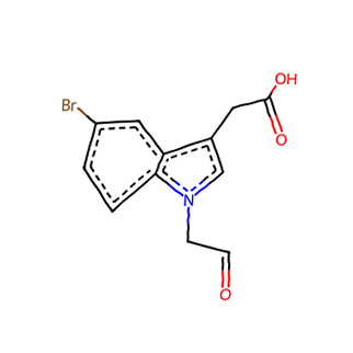 O=CCn1cc(CC(=O)O)c2cc(Br)ccc21